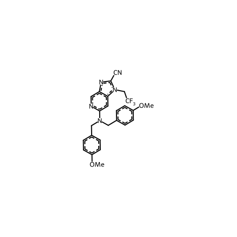 COc1ccc(CN(Cc2ccc(OC)cc2)c2cc3c(cn2)nc(C#N)n3CC(F)(F)F)cc1